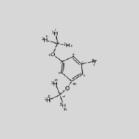 [2H]C([2H])([2H])Oc1cc(Br)cc(OC([2H])([2H])[2H])c1